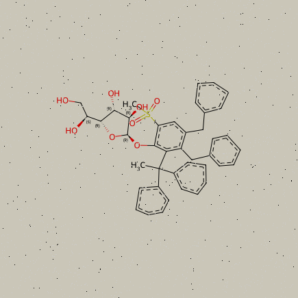 CC(c1ccccc1)(c1ccccc1)c1c(Cc2ccccc2)c(Cc2ccccc2)cc(S(C)(=O)=O)c1O[C@H]1O[C@H]([C@@H](O)CO)[C@H](O)[C@H]1O